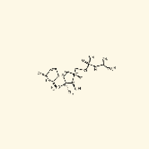 C=C1NC(=O)C=CN1[C@@H]1N[C@](F)(COP(=O)(O)NC(C)C(=O)O)[C@@H](O)[C@@]1(C)O